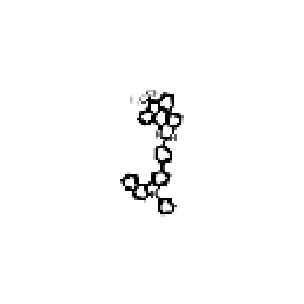 CC1(C)c2ccccc2-c2c(-c3nc(-c4ccc(-c5ccc6c(c5)c5c7ccccc7ccc5n6-c5ccccc5)cc4)nc4ccccc34)cccc21